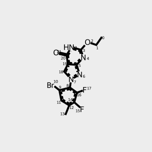 CCOc1nc2nn(-c3c(Br)cc(C)c(F)c3F)cc2c(=O)[nH]1